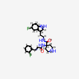 O=C(/C=C/c1ccccc1F)NC1(C(=O)NCCc2c[nH]c3ccc(F)cc23)CCNCC1